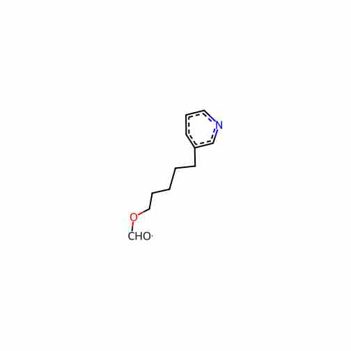 O=[C]OCCCCCc1cccnc1